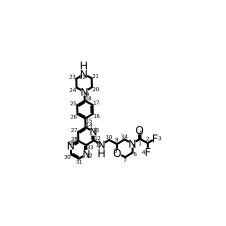 O=C(C(F)F)N1CCOC(CNc2nc(-c3ccc(N4CCNCC4)cc3)cc3nccnc23)C1